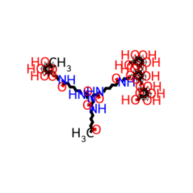 CC(=O)CCCCCNC(=O)CN(CC(=O)NCCCCCC(=O)NCCO[C@@H]1O[C@@H](C)[C@@H](O)[C@@H](O)[C@@H]1O)CC(=O)NCCCCCC(=O)NCCO[C@H]1O[C@H](CO[C@H]2O[C@H](CO)[C@@H](O)[C@H](O)[C@@H]2O)[C@@H](O)[C@H](O[C@H]2O[C@H](CO)[C@@H](O)[C@H](O)[C@@H]2O)[C@@H]1O